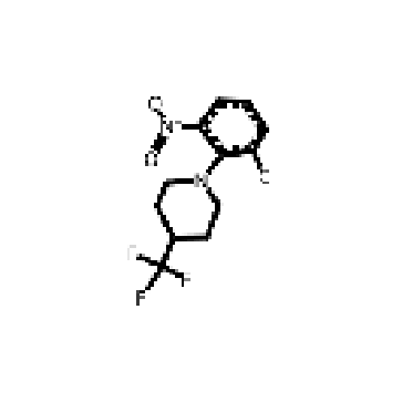 O=[N+]([O-])c1cccc(Cl)c1N1CCC(C(F)(F)F)CC1